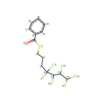 O=C(SCCCC(F)(F)C(F)C(F)C(F)F)c1ccccc1